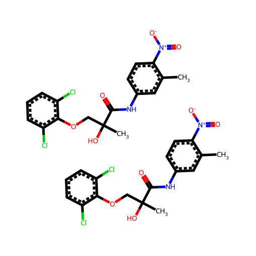 Cc1cc(NC(=O)C(C)(O)COc2c(Cl)cccc2Cl)ccc1[N+](=O)[O-].Cc1cc(NC(=O)C(C)(O)COc2c(Cl)cccc2Cl)ccc1[N+](=O)[O-]